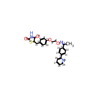 CC(=NOCCOc1ccc(CC2SC(=O)NC2=O)cc1)c1ccc(-c2ccccn2)cc1